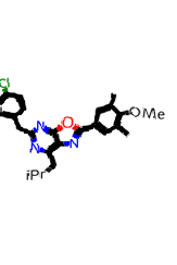 COc1c(C)cc(-c2nc3c(CC(C)C)nc(Cc4ccc(Cl)cc4)nc3o2)cc1C